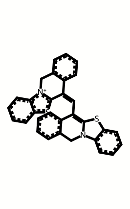 C(=C1c2ccccc2C[n+]2c1sc1ccccc12)C1=C2Sc3ccccc3N2Cc2ccccc21